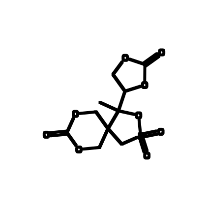 CC1(C2COC(=O)O2)OS(=O)(=O)CC12COC(=O)OC2